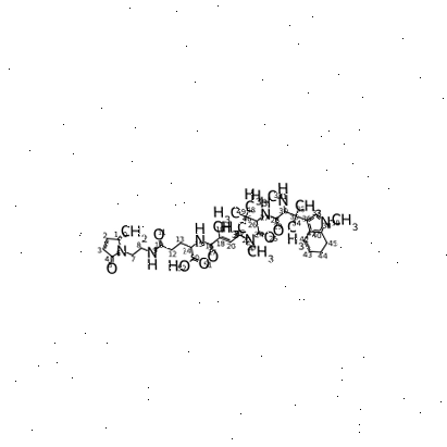 C=C1C=CC(=O)N1CCNC(=O)CCC(NC(=O)/C(C)=C/CN(C)C(=O)C(NC(=O)C(NC)C(C)(C)c1cn(C)c2c1C=CCC2)C(C)(C)C)C(=O)O